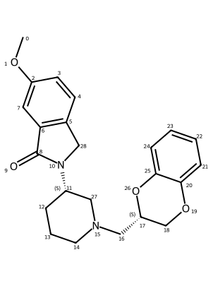 COc1ccc2c(c1)C(=O)N([C@H]1CCCN(C[C@H]3COc4ccccc4O3)C1)C2